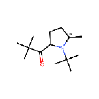 C[C@@H]1CCC(C(=O)C(C)(C)C)N1C(C)(C)C